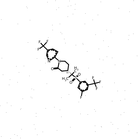 CC(C)([C@H]1CCN(c2ccc(C(F)(F)F)cn2)C(=O)C1)S(=O)(=O)c1cc(F)cc(C(F)(F)F)c1